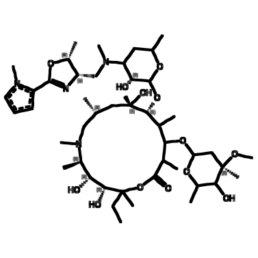 CCC1(C)OC(=O)C(C)C(OC2C[C@@](C)(OC)C(O)C(C)O2)C(C)[C@@H](OC2OC(C)CC(N(C)C[C@@H]3N=C(c4cccn4C)O[C@@H]3C)[C@H]2O)[C@@](C)(O)C[C@@H](C)CN(C)[C@H](C)[C@@H](O)[C@H]1O